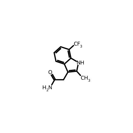 Cc1[nH]c2c(C(F)(F)F)cccc2c1CC(N)=O